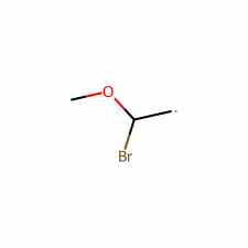 [CH2]C(Br)OC